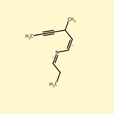 CC#CC(C)/C=C\N=C/CC